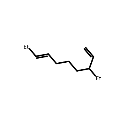 C=CC(CC)C[CH]CC=CCC